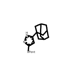 CCCCCc1cc(C23CC4CC(CC(C4)C2)C3)[nH]n1